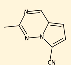 Cc1ncc2ccc(C#N)n2n1